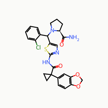 NC(=O)[C@@H]1CCCN1C(c1cnc(NC(=O)C2(c3ccc4c(c3)OCO4)CC2)s1)c1ccccc1Cl